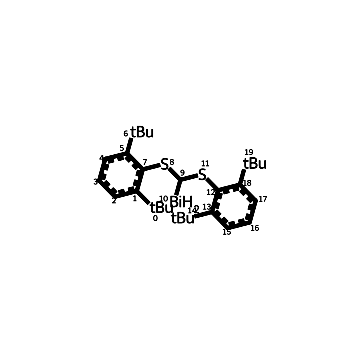 CC(C)(C)c1cccc(C(C)(C)C)c1S[CH]([BiH2])Sc1c(C(C)(C)C)cccc1C(C)(C)C